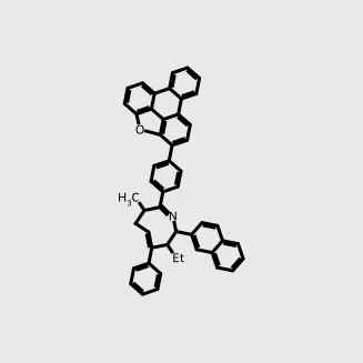 CCC1/C(c2ccccc2)=C/CC(C)/C(c2ccc(-c3ccc4c5ccccc5c5cccc6oc3c4c65)cc2)=N\C1c1ccc2ccccc2c1